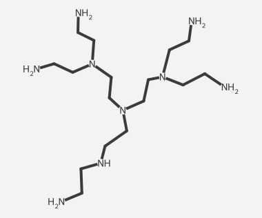 NCCNCCN(CCN(CCN)CCN)CCN(CCN)CCN